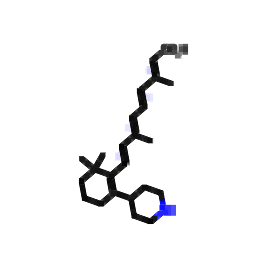 CC(/C=C/C1=C(C2CCNCC2)CCCC1(C)C)=C\C=C\C(C)=C\C(=O)O